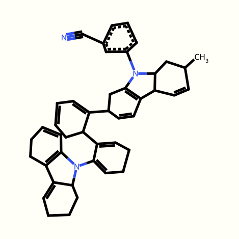 CC1C=CC2C3=C(CC(C4=CC=CCC4C4=CCCC=C4N4C5=C(CCC=C5)C5=CCCCC54)C=C3)N(c3cccc(C#N)c3)C2C1